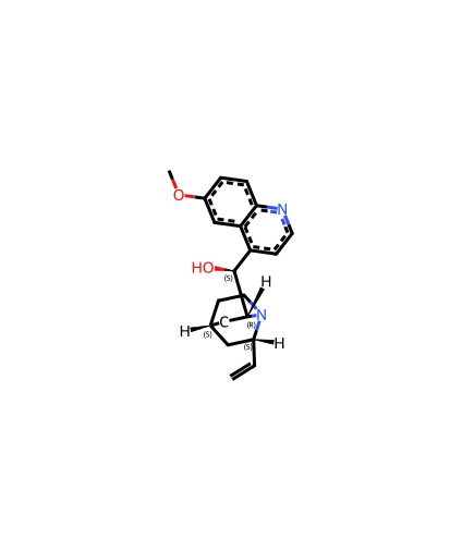 C=C[C@@H]1C[C@@H]2CCN1[C@@H]([C@@H](O)c1ccnc3ccc(OC)cc13)C2